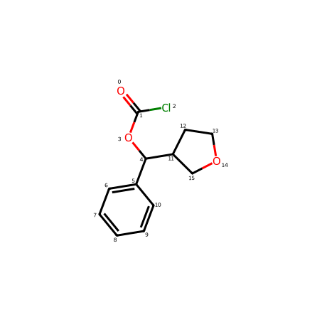 O=C(Cl)OC(c1ccccc1)C1CCOC1